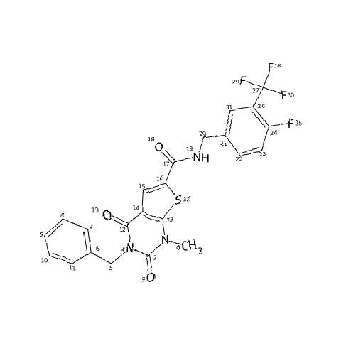 Cn1c(=O)n(Cc2ccccc2)c(=O)c2cc(C(=O)NCc3ccc(F)c(C(F)(F)F)c3)sc21